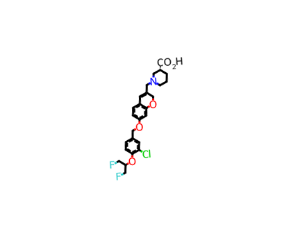 O=C(O)[C@@H]1CCCN(CC2=Cc3ccc(OCc4ccc(OC(CF)CF)c(Cl)c4)cc3OC2)C1